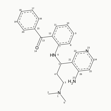 CN(C)CCC(Nc1ccccc1C(=O)c1ccccc1)c1cnccc1N